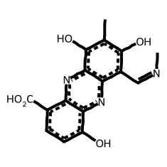 C/N=C\c1c(O)c(C)c(O)c2nc3c(C(=O)O)ccc(O)c3nc12